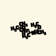 COC(C)CNC(C)CC(=O)OC(C)(C)C